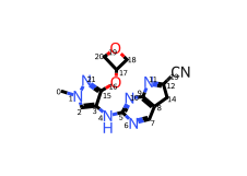 Cn1cc(Nc2ncc3c(n2)N=C(C#N)C3)c(OC2COC2)n1